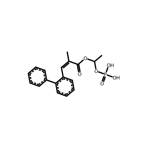 CC(=Cc1ccccc1-c1ccccc1)C(=O)OC(C)OP(=O)(O)O